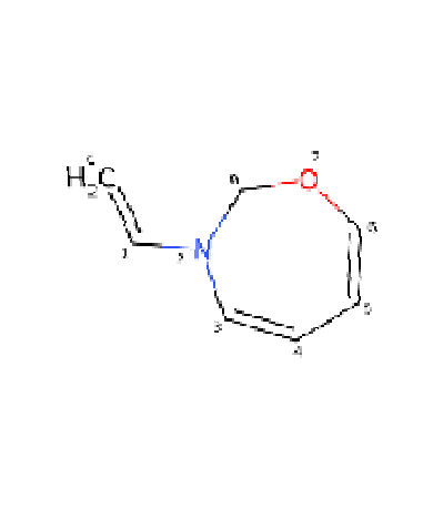 C=CN1C=CC=COC1